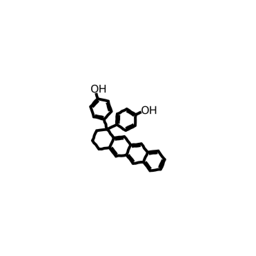 Oc1ccc(C2(c3ccc(O)cc3)CCCc3cc4cc5ccccc5cc4cc32)cc1